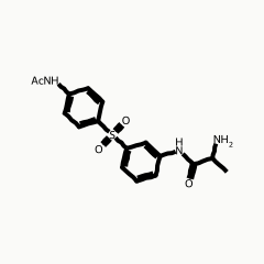 CC(=O)Nc1ccc(S(=O)(=O)c2cccc(NC(=O)C(C)N)c2)cc1